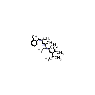 C=C(C)C(=C/C(Cl)=C(C)/C(C)=C/C(C)=C\c1ccccc1C)C(=C)C